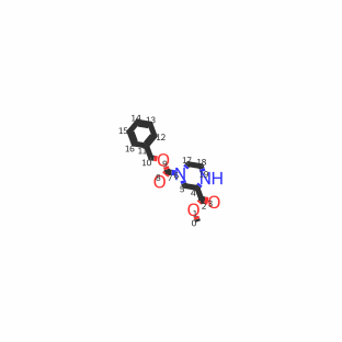 COC(=O)C1CN(C(=O)OCc2ccccc2)CCN1